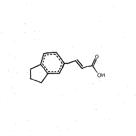 O=C(O)C=Cc1ccc2c(c1)CCC2